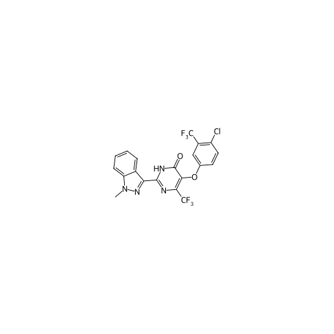 Cn1nc(-c2nc(C(F)(F)F)c(Oc3ccc(Cl)c(C(F)(F)F)c3)c(=O)[nH]2)c2ccccc21